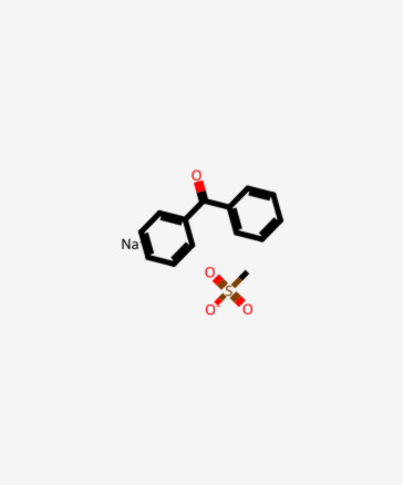 CS(=O)(=O)[O-].O=C(c1ccccc1)c1ccccc1.[Na+]